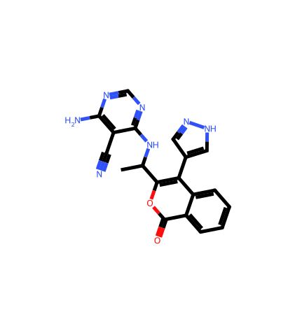 CC(Nc1ncnc(N)c1C#N)c1oc(=O)c2ccccc2c1-c1cn[nH]c1